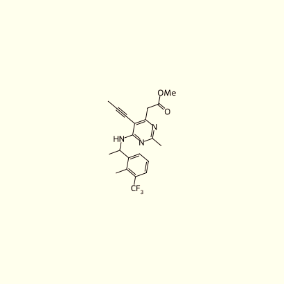 CC#Cc1c(CC(=O)OC)nc(C)nc1NC(C)c1cccc(C(F)(F)F)c1C